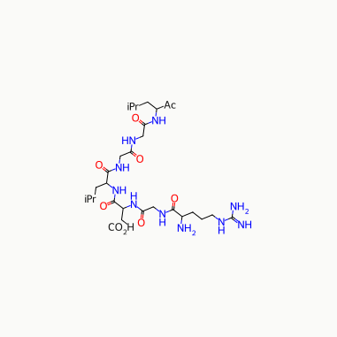 CC(=O)C(CC(C)C)NC(=O)CNC(=O)CNC(=O)C(CC(C)C)NC(=O)C(CC(=O)O)NC(=O)CNC(=O)C(N)CCCNC(=N)N